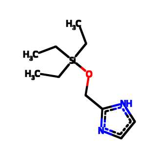 CC[Si](CC)(CC)OCc1ncc[nH]1